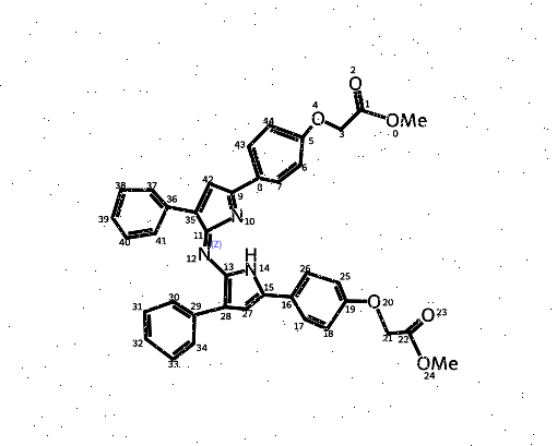 COC(=O)COc1ccc(C2=N/C(=N\c3[nH]c(-c4ccc(OCC(=O)OC)cc4)cc3-c3ccccc3)C(c3ccccc3)=C2)cc1